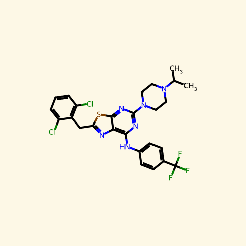 CC(C)N1CCN(c2nc(Nc3ccc(C(F)(F)F)cc3)c3nc(Cc4c(Cl)cccc4Cl)sc3n2)CC1